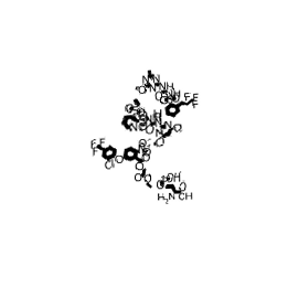 CCOC(=O)COC(=O)c1cc(Oc2ccc(C(F)(F)F)cc2Cl)ccc1[N+](=O)[O-].CCS(=O)(=O)c1cccnc1S(=O)(=O)NC(=O)Nc1nc(OC)cc(OC)n1.COc1nc(C)nc(NC(=O)NS(=O)(=O)c2ccccc2CCC(F)(F)F)n1.CP(=O)(O)CCC(N)C(=O)O